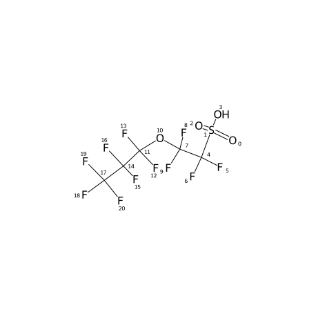 O=S(=O)(O)C(F)(F)C(F)(F)OC(F)(F)C(F)(F)C(F)(F)F